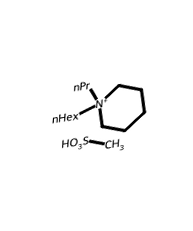 CCCCCC[N+]1(CCC)CCCCC1.CS(=O)(=O)O